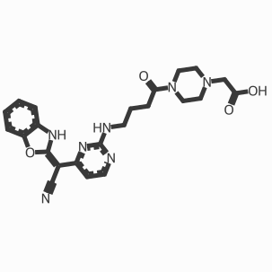 N#C/C(=C1/Nc2ccccc2O1)c1ccnc(NCCCC(=O)N2CCN(CC(=O)O)CC2)n1